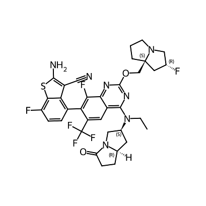 CCN(c1nc(OC[C@@]23CCCN2C[C@H](F)C3)nc2c(F)c(-c3ccc(F)c4sc(N)c(C#N)c34)c(C(F)(F)F)cc12)[C@H]1C[C@H]2CCC(=O)N2C1